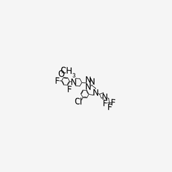 COc1cc(N2CCC(c3nnc4n3-c3ccc(Cl)cc3CN(C3CN(CC(F)(F)F)C3)C4)CC2)c(F)cc1F